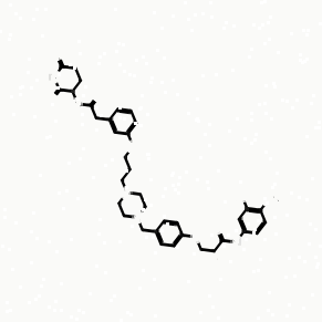 C[C@H](COc1ccc(CN2CCN(CCCOc3cccc(CC(=O)NC4CCC(=O)NC4=O)c3)CC2)cc1)C(=O)Nc1ccc(C#N)c(C(F)(F)F)c1